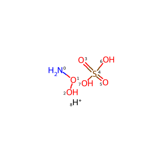 NOO.O=S(=O)(O)O.[H+]